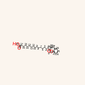 COC1(CCCCCCCCCCCCCCCC(=O)O)Oc2ccccc2CC1(C)C